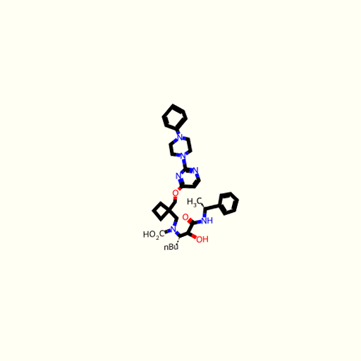 CCCC[C@@H](C(O)C(=O)N[C@H](C)c1ccccc1)N(CC1(COc2ccnc(N3CCN(c4ccccc4)CC3)n2)CCC1)C(=O)O